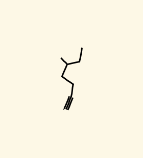 [C]#CCCC(C)CC